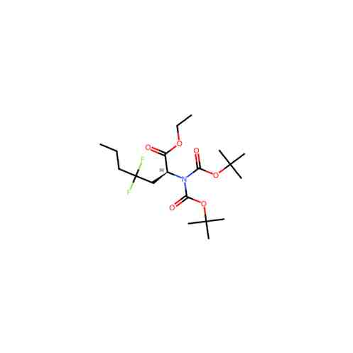 CCCC(F)(F)C[C@@H](C(=O)OCC)N(C(=O)OC(C)(C)C)C(=O)OC(C)(C)C